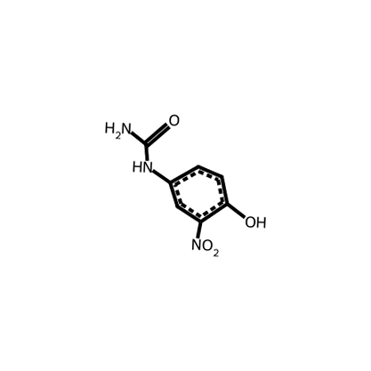 NC(=O)Nc1ccc(O)c([N+](=O)[O-])c1